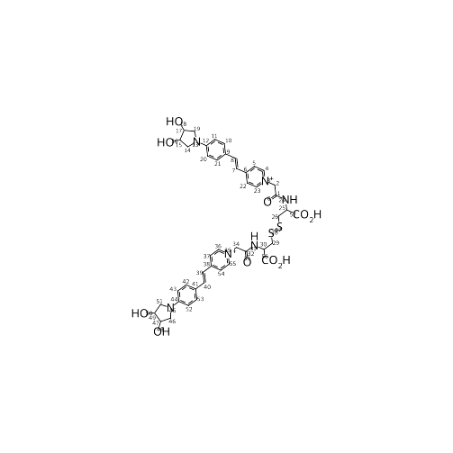 O=C(C[n+]1ccc(/C=C/c2ccc(N3CC(O)C(O)C3)cc2)cc1)NC(CSSCC(NC(=O)C[n+]1ccc(/C=C/c2ccc(N3CC(O)C(O)C3)cc2)cc1)C(=O)O)C(=O)O